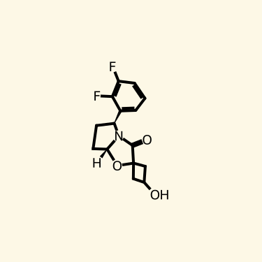 O=C1N2[C@@H](CC[C@H]2c2cccc(F)c2F)OC12CC(O)C2